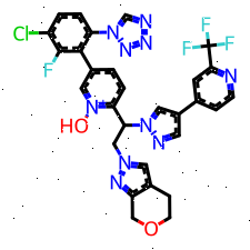 O[n+]1cc(-c2c(-n3cnnn3)ccc(Cl)c2F)ccc1C(Cn1cc2c(n1)COCC2)n1cc(-c2ccnc(C(F)(F)F)c2)cn1